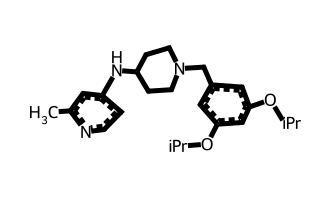 Cc1cc(NC2CCN(Cc3cc(OC(C)C)cc(OC(C)C)c3)CC2)ccn1